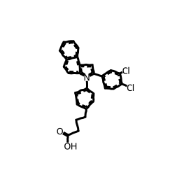 O=C(O)CCCc1ccc(-n2c(-c3ccc(Cl)c(Cl)c3)cc3c4ccccc4ccc32)cc1